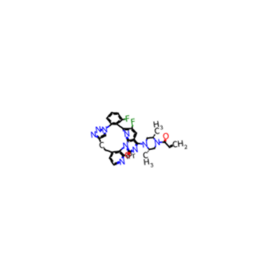 C=CC(=O)N1C[C@H](C)N(c2nc(=O)n3c4nc(c(F)cc24)-c2c(F)cccc2-n2cc(nn2)CCc2ccnc(C(C)C)c2-3)C[C@H]1C